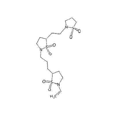 C=CN1CCC(CCCN2CCC(CCN3CCCS3(=O)=O)S2(=O)=O)S1(=O)=O